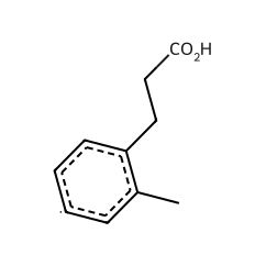 Cc1c[c]ccc1CCC(=O)O